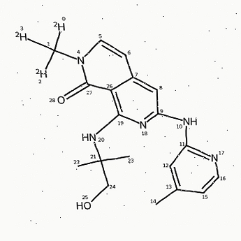 [2H]C([2H])([2H])n1ccc2cc(Nc3cc(C)ccn3)nc(NC(C)(C)CO)c2c1=O